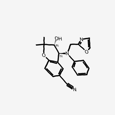 CC1(C)Oc2ccc(C#N)cc2[C@H](N(Cc2ncco2)c2ccccc2)[C@H]1O